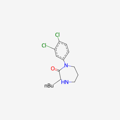 CCCCC1NCCCN(c2ccc(Cl)c(Cl)c2)C1=O